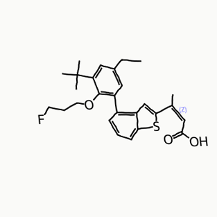 CCc1cc(-c2cccc3sc(/C(C)=C\C(=O)O)cc23)c(OCCCF)c(C(C)(C)C)c1